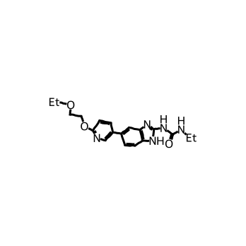 CCNC(=O)Nc1nc2cc(-c3ccc(OCCOCC)nc3)ccc2[nH]1